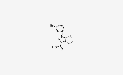 O=C(O)c1nn(-c2cccc(Br)c2)c2c1CCCO2